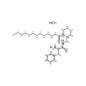 CCCCCCCCCCCCC(=O)N1CCCCC1CNC(=O)C(N)Cc1ccccc1.Cl